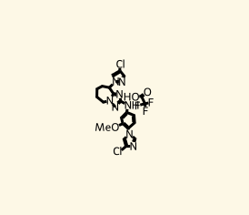 COc1cc(Nc2nc3n(n2)CCCCC3n2cc(Cl)cn2)ccc1-n1cnc(Cl)c1.O=C(O)C(F)(F)F